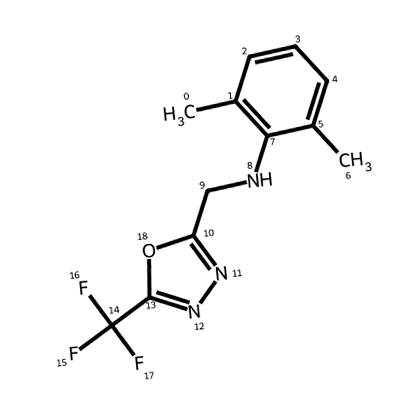 Cc1cccc(C)c1NCc1nnc(C(F)(F)F)o1